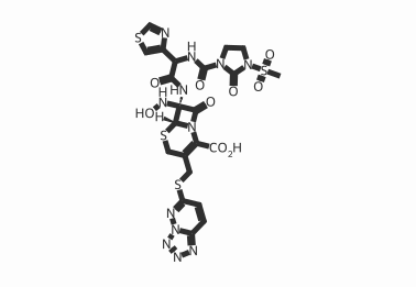 CS(=O)(=O)N1CCN(C(=O)NC(C(=O)N[C@]2(NO)C(=O)N3C(C(=O)O)=C(CSc4ccc5nnnn5n4)CS[C@@H]32)c2cscn2)C1=O